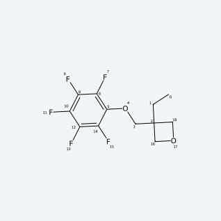 CCC1(COc2c(F)c(F)c(F)c(F)c2F)COC1